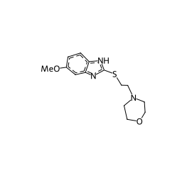 COc1ccc2[nH]c(SCCN3CCOCC3)nc2c1